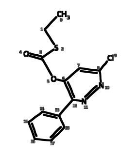 CCSC(=O)Oc1cc(Cl)nnc1-c1ccccc1